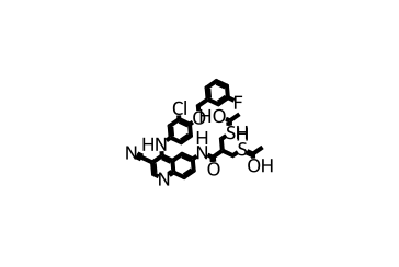 CC(O)=[SH]CC(C[SH]=C(C)O)C(=O)Nc1ccc2ncc(C#N)c(Nc3ccc(OCc4cccc(F)c4)c(Cl)c3)c2c1